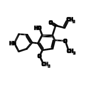 C=CC(=O)c1c(OC)cc(OC)c(C2=CCNCC2)c1O